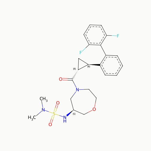 CN(C)S(=O)(=O)N[C@@H]1COCCN(C(=O)[C@@H]2C[C@H]2c2ccccc2-c2c(F)cccc2F)C1